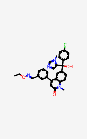 CCON=Cc1cccc(-c2cc(=O)n(C)c3ccc(C(O)(c4ccc(Cl)cc4)c4cncn4C)cc23)c1